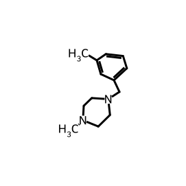 Cc1cccc(CN2CCN(C)CC2)c1